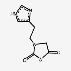 O=C1CN(CCc2c[nH]cn2)C(=O)[N]1